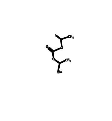 CC(I)OC(=O)OC(C)C(C)(C)C